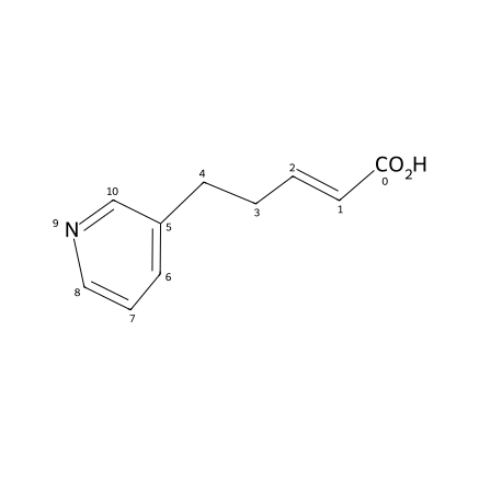 O=C(O)C=CCCc1cccnc1